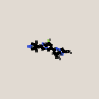 Cc1cn2nc(-c3cc(F)c4nc(C5[C@H]6CNC[C@@H]56)cn4c3)cc(C)c2n1